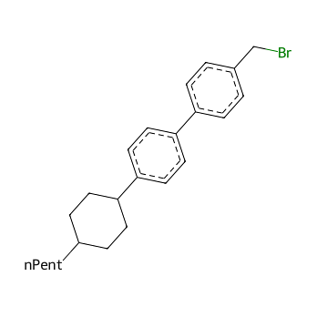 CCCCCC1CCC(c2ccc(-c3ccc(CBr)cc3)cc2)CC1